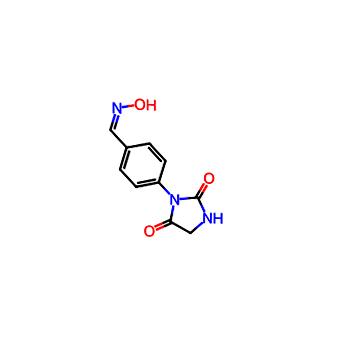 O=C1CNC(=O)N1c1ccc(/C=N\O)cc1